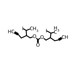 C#CCC(COC(=O)OCC(CC#C)C(C)I)C(C)I